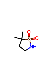 CC1(C)CCNS1(=O)=O